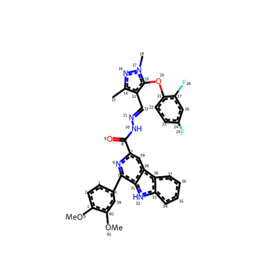 COc1ccc(-c2nc(C(=O)N/N=C/c3c(C)nn(C)c3Oc3ccc(F)cc3F)cc3c2[nH]c2ccccc23)cc1OC